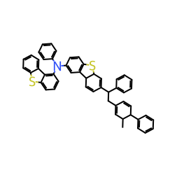 CC1C=C(CC(C2=CC3Sc4ccc(N(c5ccccc5)c5cccc6sc7ccccc7c56)cc4C3C=C2)c2ccccc2)C=CC1c1ccccc1